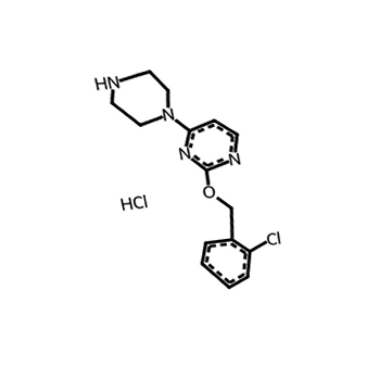 Cl.Clc1ccccc1COc1nccc(N2CCNCC2)n1